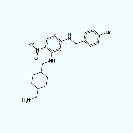 NCC1CCC(CNc2nc(NCc3ccc(Br)cc3)ncc2[N+](=O)[O-])CC1